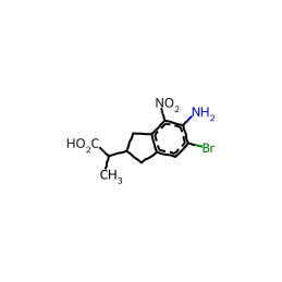 CC(C(=O)O)C1Cc2cc(Br)c(N)c([N+](=O)[O-])c2C1